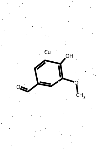 COc1cc(C=O)ccc1O.[Cu]